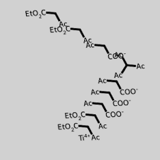 CC(=O)C(C(C)=O)C(C)=O.CC(=O)CC(=O)[O-].CC(=O)CC(=O)[O-].CC(=O)CC(=O)[O-].CC(=O)CC(=O)[O-].CCOC(=O)CC(C)=O.CCOC(=O)CC(C)=O.CCOC(=O)CC(C)=O.CCOC(=O)CC(C)=O.[Ti+4]